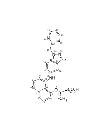 C[C@@H](Oc1cccc2ncnc(Nc3ccc4c(cnn4Cc4ccccn4)c3)c12)C(=O)O